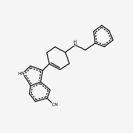 N#Cc1ccc2[nH]cc(C3=CCC(NCc4ccccc4)CC3)c2c1